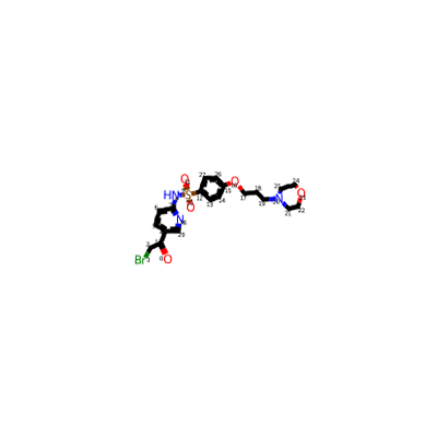 O=C(CBr)c1ccc(NS(=O)(=O)c2ccc(OCCCN3CCOCC3)cc2)nc1